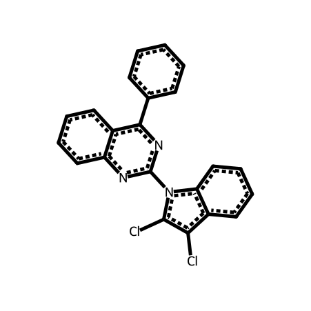 Clc1c(Cl)n(-c2nc(-c3ccccc3)c3ccccc3n2)c2ccccc12